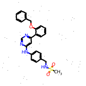 CS(=O)(=O)NCc1ccc(Nc2cc(-c3ccccc3OCc3ccccc3)ncn2)cc1